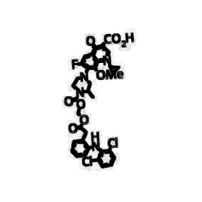 COc1c(N2CCN(C(=O)OCOC(=O)Cc3ccccc3Nc3c(Cl)cccc3Cl)C(C)C2)c(F)cc2c(=O)c(C(=O)O)cn(C3CC3)c12